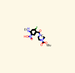 CCNc1cc(F)c(C(=O)N2CCN(C(=O)OC(C)(C)C)CC2)cc1[N+](=O)O